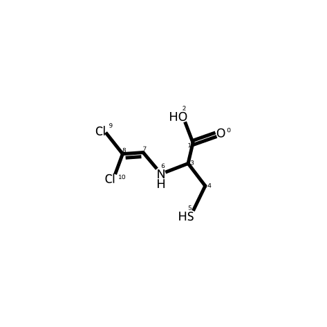 O=C(O)C(CS)NC=C(Cl)Cl